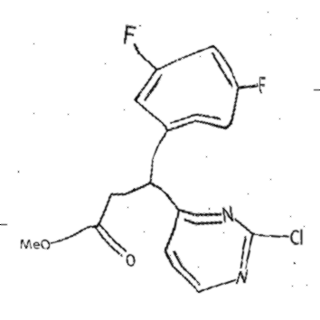 COC(=O)CC(c1cc(F)cc(F)c1)c1ccnc(Cl)n1